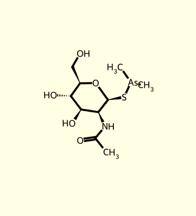 CC(=O)N[C@H]1[C@@H](O)[C@H](O)[C@@H](CO)O[C@H]1S[As](C)C